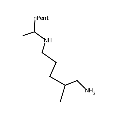 CCCCCC(C)NCCCC(C)CN